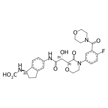 O=C(O)N[C@@H]1CCc2cc(NC(=O)[C@H](O)[C@H]3OCCN(c4ccc(F)c(C(=O)N5CCOCC5)c4)C3=O)ccc21